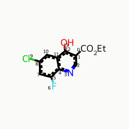 CCOC(=O)c1cnc2c(F)cc(Cl)cc2c1O